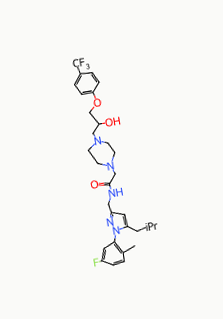 Cc1ccc(F)cc1-n1nc(CNC(=O)CN2CCN(CC(O)COc3ccc(C(F)(F)F)cc3)CC2)cc1CC(C)C